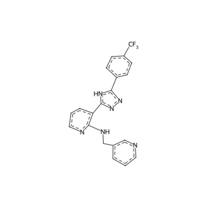 FC(F)(F)c1ccc(-c2nnc(-c3cccnc3NCc3cccnc3)[nH]2)cc1